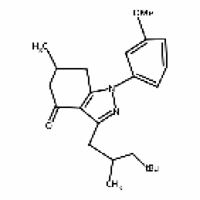 COc1cccc(-n2nc(CC(C)CC(C)(C)C)c3c2CC(C)CC3=O)c1